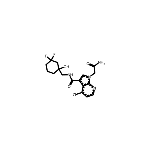 NC(=O)Cn1cc(C(=O)NCC2(O)CCCC(F)(F)C2)c2c(Cl)ccnc21